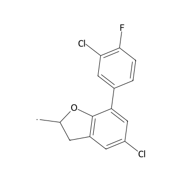 [CH2]C1Cc2cc(Cl)cc(-c3ccc(F)c(Cl)c3)c2O1